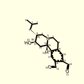 CC(C)C[C@@H]1CN2CCc3cc(C=O)c(C=O)cc3[C@@H]2C[C@H]1O